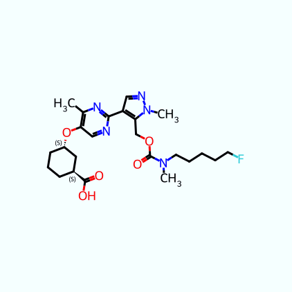 Cc1nc(-c2cnn(C)c2COC(=O)N(C)CCCCCF)ncc1O[C@H]1CCC[C@H](C(=O)O)C1